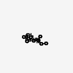 CN1c2ccccc2N2c3ccccc3Oc3c(-c4cccc(C5N=C(c6cccc(-c7ccccc7)c6)C=C(c6ccccc6)N5)c4)cccc3C12